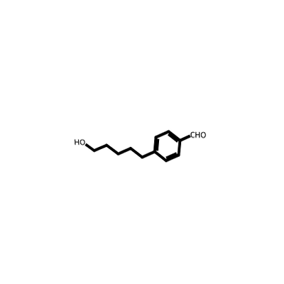 O=Cc1ccc(CCCCCO)cc1